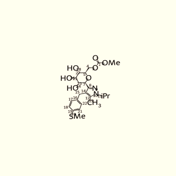 COC(=O)OC[C@H]1O[C@@H](c2nn(C(C)C)c(C)c2Cc2ccc(SC)cc2)[C@H](O)[C@@H](O)[C@@H]1O